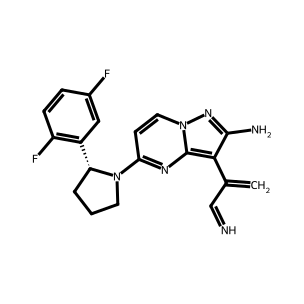 C=C(C=N)c1c(N)nn2ccc(N3CCC[C@@H]3c3cc(F)ccc3F)nc12